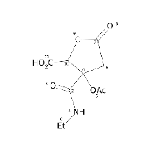 CCNC(=O)C1(OC(C)=O)CC(=O)OC1C(=O)O